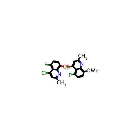 COc1ccc(F)c2c(Cl)cc(C)nc12.Cc1cc(Cl)c2c(F)ccc(O)c2n1